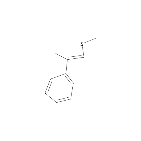 CS/C=C(\C)c1ccccc1